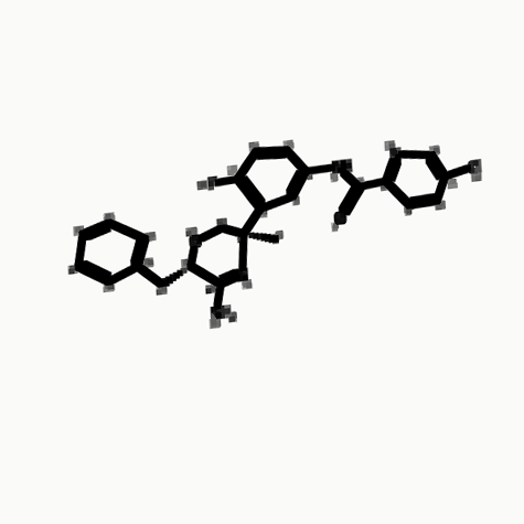 C[C@@]1(c2cc(NC(=O)c3ccc(Cl)cn3)ccc2F)CO[C@@H](Cc2ccccc2)C(N)=N1